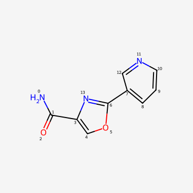 NC(=O)c1coc(-c2cccnc2)n1